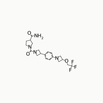 NC(=O)C1CCN(C(=O)N2CC(c3ccc(N4CC(OCC(F)(F)F)C4)cc3)C2)C1